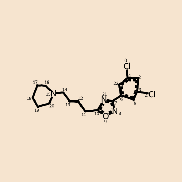 Clc1cc(Cl)cc(-c2noc(CCCCN3CCCCC3)n2)c1